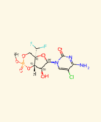 CC(C)OP1(=O)OC[C@@]2(C(F)F)O[C@@H](n3cc(Cl)c(N)nc3=O)[C@@H](O)[C@@H]2O1